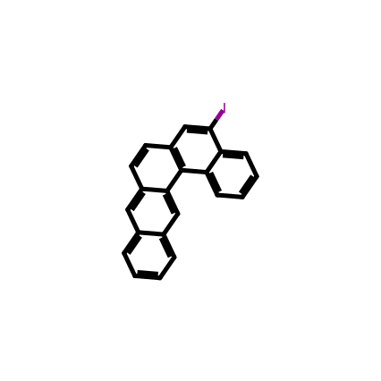 Ic1cc2ccc3cc4ccccc4cc3c2c2ccccc12